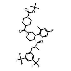 Cc1cc(F)ccc1[C@@H]1CN(C(=O)C2CCN(C(=O)OC(C)(C)C)CC2)CC[C@H]1C(=O)N(C)Cc1cc(C(F)(F)F)cc(C(F)(F)F)c1